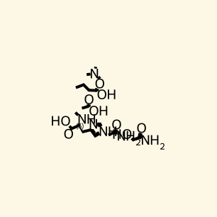 CC(=O)O.CC(N)=O.CCCC(=O)O.CN(C)C.CN[C@@H](Cc1c[nH]cn1)C(=O)O.NC(=O)CO